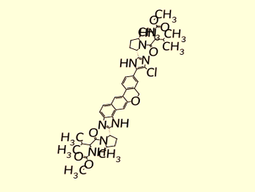 COC(=O)N[C@H](C(=O)N1[C@@H](C)CC[C@H]1c1nc(Cl)c(-c2ccc3c(c2)COc2cc4c(ccc5nc([C@@H]6CC[C@H](C)N6C(=O)[C@@H](NC(=O)OC)C(C)C)[nH]c54)cc2-3)[nH]1)C(C)C